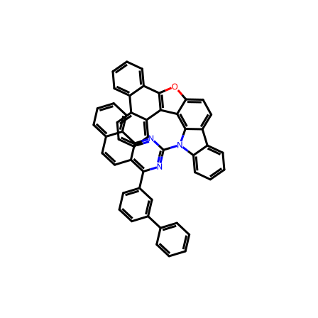 c1ccc(-c2cccc(-c3nc(-n4c5ccccc5c5ccc6oc7c8ccccc8c8ccccc8c7c6c54)nc4c3ccc3ccccc34)c2)cc1